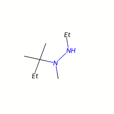 CCNN(C)C(C)(C)CC